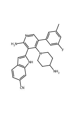 Cc1cc(F)cc(-c2cnc(N)c(-c3cc4ccc(C#N)cc4[nH]3)c2N2CCC(N)CC2)c1